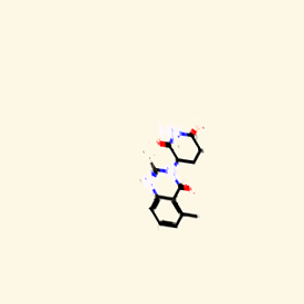 Cc1cccc2nc(N=O)n(C3CCC(=O)NC3=O)c(=O)c12